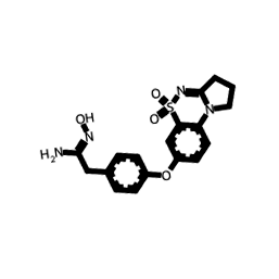 NC(Cc1ccc(Oc2ccc3c(c2)S(=O)(=O)N=C2CCCN23)cc1)=NO